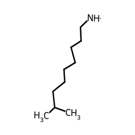 CC(C)CCCCCCC[NH]